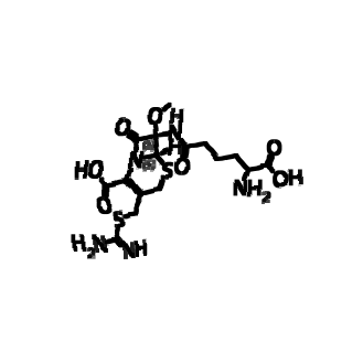 CO[C@@]1(NC(=O)CCCC(N)C(=O)O)C(=O)N2C(C(=O)O)=C(CSC(=N)N)CS[C@H]21